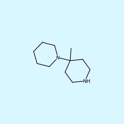 CC1(N2C[CH]CCC2)CCNCC1